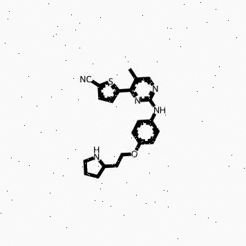 Cc1cnc(Nc2ccc(OCCC3CCCN3)cc2)nc1-c1ccc(C#N)s1